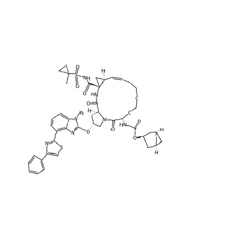 CC(C)n1c(O[C@@H]2C[C@H]3C(=O)N[C@]4(C(=O)NS(=O)(=O)C5(C)CC5)C[C@H]4/C=C\CCCCC[C@H](NC(=O)O[C@@H]4C[C@@H]5C[C@@H]5C4)C(=O)N3C2)nc2c(-c3nc(-c4ccccc4)cs3)cccc21